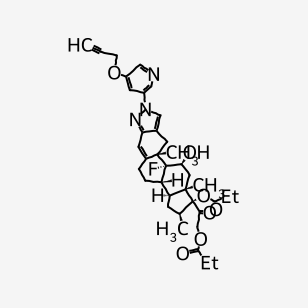 C#CCOc1cncc(-n2cc3c(n2)C=C2CC[C@H]4[C@@H]5C[C@H](C)[C@](OC(=O)CC)(C(=O)COC(=O)CC)[C@@]5(C)C[C@H](O)[C@]4(F)[C@@]2(C)C3)c1